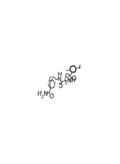 Cc1ccc(F)cc1S(=O)(=O)NC(C)(C)C(=O)NC1C2CC3CC1CC(C(N)=O)(C3)C2